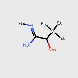 CCN=C(N)C(O)[Si](CC)(CC)CC